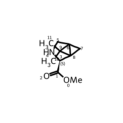 COC(=O)[C@H]1NCC23CC12C3(C)C